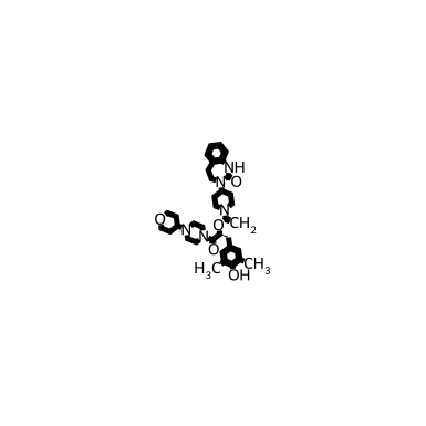 C=C(O[C@H](Cc1cc(C)c(O)c(C)c1)C(=O)N1CCN(C2CCOCC2)CC1)N1CCC(N2CCc3ccccc3NC2=O)CC1